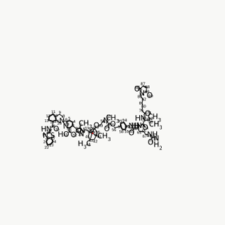 Cc1c(-c2ccc(N3CCc4cccc(C(=O)Nc5nc6ccccc6s5)c4C3)nc2C(=O)O)cnn1CC12CC3(C)CC(C)(C1)CC(OCCN(C)C(=O)OCc1ccc(NC(=O)[C@H](CCCNC(N)=O)NC(=O)[C@@H](NC(=O)CCCCCN4C(=O)C=CC4=O)C(C)C)cc1)(C3)C2